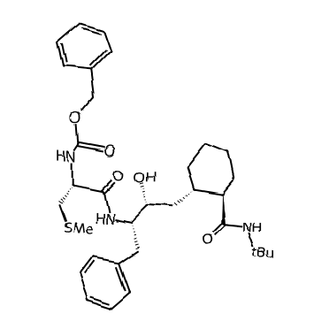 CSC[C@H](NC(=O)OCc1ccccc1)C(=O)N[C@@H](Cc1ccccc1)[C@H](O)C[C@@H]1CCCC[C@H]1C(=O)NC(C)(C)C